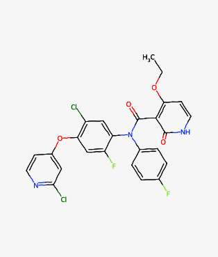 CCOc1cc[nH]c(=O)c1C(=O)N(c1ccc(F)cc1)c1cc(Cl)c(Oc2ccnc(Cl)c2)cc1F